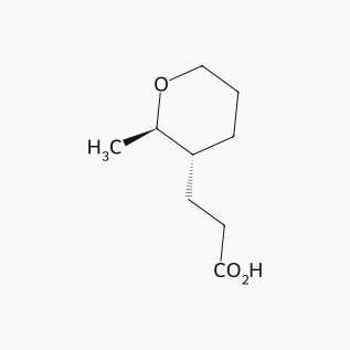 C[C@H]1OCCC[C@@H]1CCC(=O)O